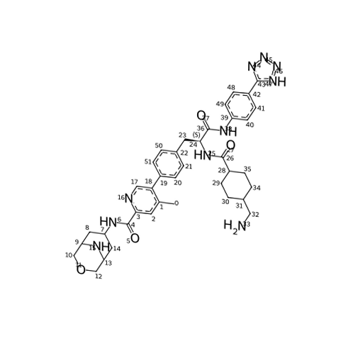 Cc1cc(C(=O)NC2CC3COCC(C2)N3)ncc1-c1ccc(C[C@H](NC(=O)C2CCC(CN)CC2)C(=O)Nc2ccc(-c3nnn[nH]3)cc2)cc1